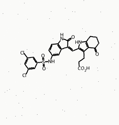 O=C(O)CCc1c(/C=C2\C(=O)Nc3ccc(NS(=O)(=O)c4cc(Cl)cc(Cl)c4)cc32)[nH]c2c1C(=O)CCC2